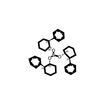 c1ccc([C@@H]2CCCC[C@H]2OB(O[C@@H]2CCCC[C@H]2c2ccccc2)O[C@@H]2CCCC[C@H]2c2ccccc2)cc1